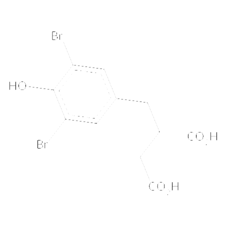 O=C(O)C[C@H](Cc1cc(Br)c(O)c(Br)c1)C(=O)O